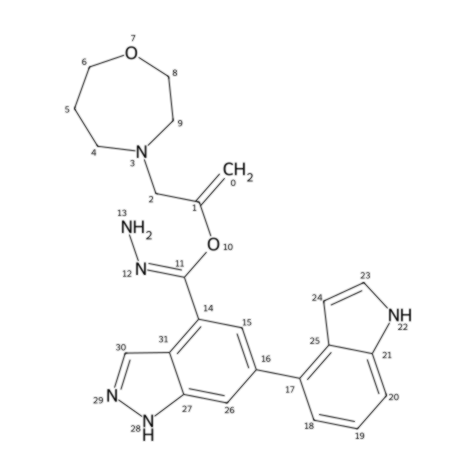 C=C(CN1CCCOCC1)O/C(=N\N)c1cc(-c2cccc3[nH]ccc23)cc2[nH]ncc12